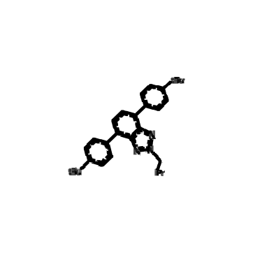 CC(C)Cn1nc2c(-c3ccc(C(C)(C)C)cc3)ccc(-c3ccc(C(C)(C)C)cc3)c2n1